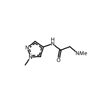 CNCC(=O)Nc1cnn(C)c1